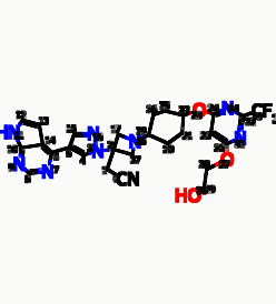 N#CCC1(n2cc(-c3ncnc4[nH]ccc34)cn2)CN(C2CCC(Oc3cc(OCCO)nc(C(F)(F)F)n3)CC2)C1